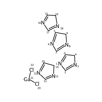 C1=NC=NC1.C1=NC=NC1.C1=NC=NC1.C1=NC=NC1.[Cl][Ga][Cl]